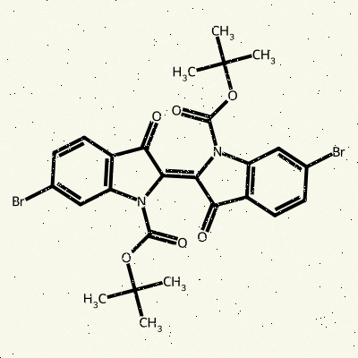 CC(C)(C)OC(=O)N1C(=C2C(=O)c3ccc(Br)cc3N2C(=O)OC(C)(C)C)C(=O)c2ccc(Br)cc21